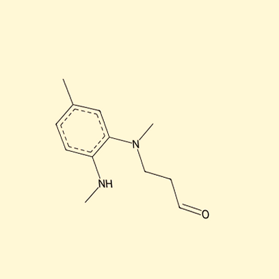 CNc1ccc(C)cc1N(C)CCC=O